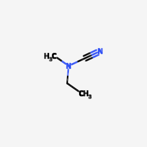 CCN(C)C#N